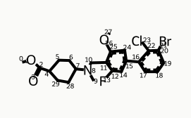 COC(=O)C1CCC(N(C)Cc2c(F)cc(-c3cccc(Br)c3Cl)cc2OC)CC1